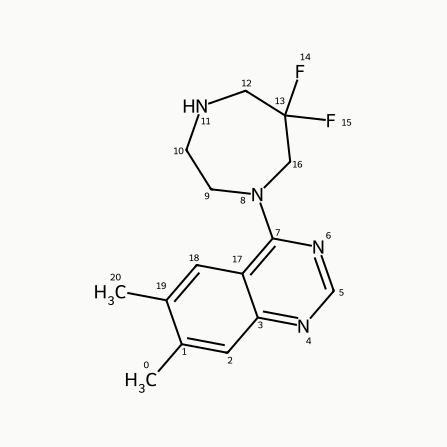 Cc1cc2ncnc(N3CCNCC(F)(F)C3)c2cc1C